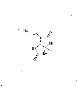 CC12NC(=O)NC1N(CCS)C(=O)N2